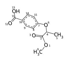 COC(=O)C(C)Oc1ccc(C(=O)O)cc1